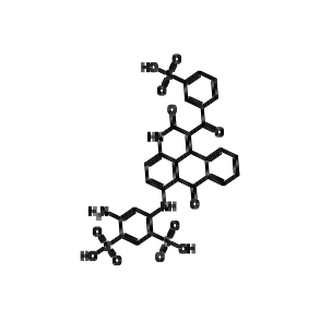 Nc1cc(Nc2ccc3[nH]c(=O)c(C(=O)c4cccc(S(=O)(=O)O)c4)c4c3c2C(=O)c2ccccc2-4)c(S(=O)(=O)O)cc1S(=O)(=O)O